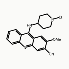 CCN1CCC(Nc2c3ccccc3nc3cc(C#N)c(OC)cc23)CC1